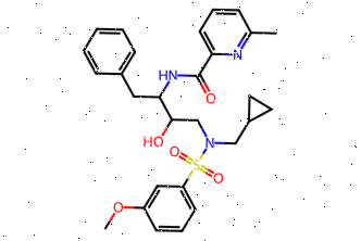 COc1cccc(S(=O)(=O)N(CC2CC2)CC(O)C(Cc2ccccc2)NC(=O)c2cccc(C)n2)c1